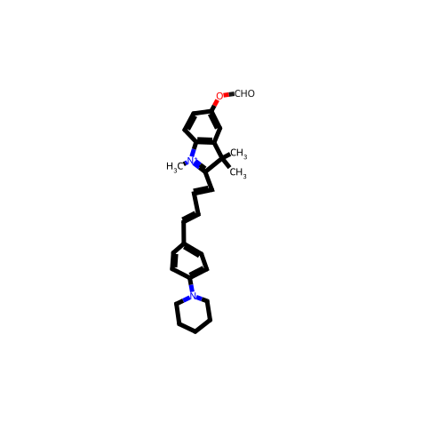 C[N+]1=C(/C=C/C=C/c2ccc(N3CCCCC3)cc2)C(C)(C)c2cc(OC=O)ccc21